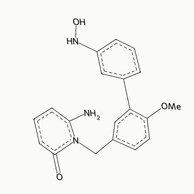 COc1ccc(Cn2c(N)cccc2=O)cc1-c1cccc(NO)c1